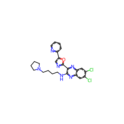 Clc1cc2nc(NCCCCN3CCCC3)c(-c3ncc(-c4ccccn4)o3)nc2cc1Cl